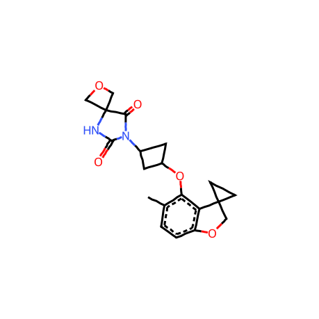 Cc1ccc2c(c1OC1CC(N3C(=O)NC4(COC4)C3=O)C1)C1(CC1)CO2